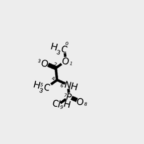 COC(=O)C(C)N[PH](=O)Cl